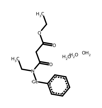 CCOC(=O)CC(=O)[N](CC)[Ge][c]1ccccc1.O.O.O